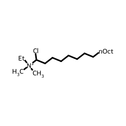 CCCCCCCCCCCCCCCC(Cl)[N+](C)(C)CC